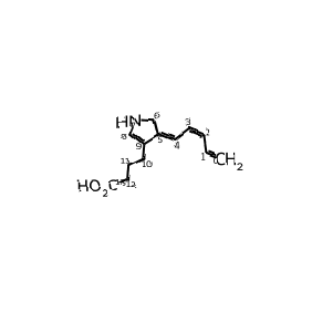 C=C/C=C\C=C1/CNC=C1CCCC(=O)O